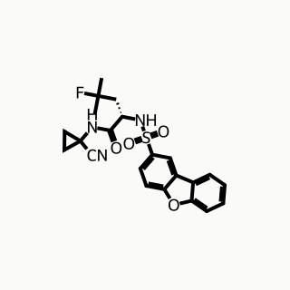 CC(C)(F)C[C@H](NS(=O)(=O)c1ccc2oc3ccccc3c2c1)C(=O)NC1(C#N)CC1